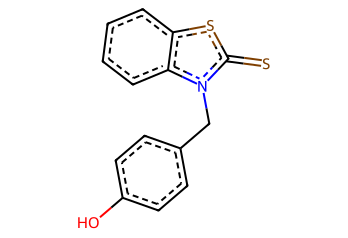 Oc1ccc(Cn2c(=S)sc3ccccc32)cc1